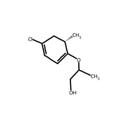 CC(CO)OC1=CC=C(Cl)C[C@@H]1C